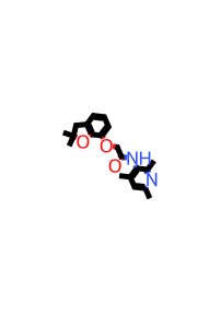 Cc1cc(C)c(NC(=O)COc2cccc3c2OC(C)(C)C3)c(C)n1